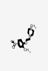 Cc1cc([N+](=O)[O-])ccc1OCCN1CCN(C)CC1